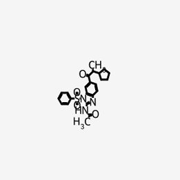 CC(=O)Nc1nc2ccc(C(=O)C(C)C3CCCC3)cc2n1S(=O)(=O)c1ccccc1